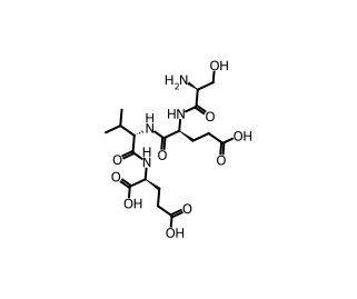 CC(C)[C@H](NC(=O)[C@H](CCC(=O)O)NC(=O)[C@@H](N)CO)C(=O)N[C@@H](CCC(=O)O)C(=O)O